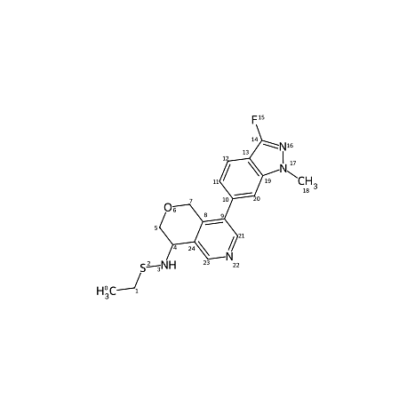 CCSNC1COCc2c(-c3ccc4c(F)nn(C)c4c3)cncc21